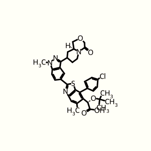 Cc1cc2nc(-c3ccc4c(c3)c(C3CCN5C(=O)COC[C@@H]5C3)nn4C)sc2c(-c2ccc(Cl)cc2)c1[C@H](OC(C)(C)C)C(=O)O